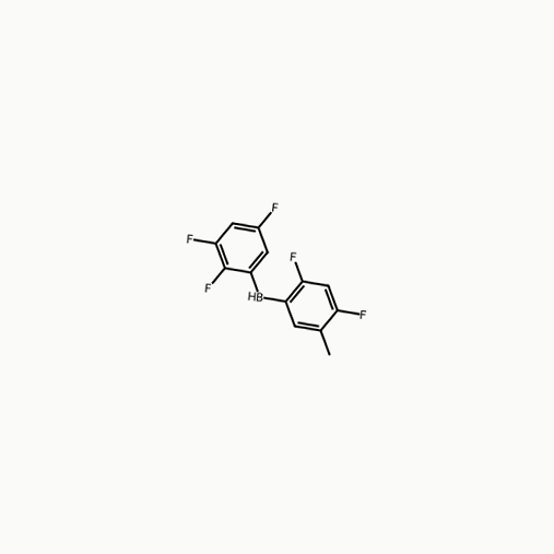 Cc1cc(Bc2cc(F)cc(F)c2F)c(F)cc1F